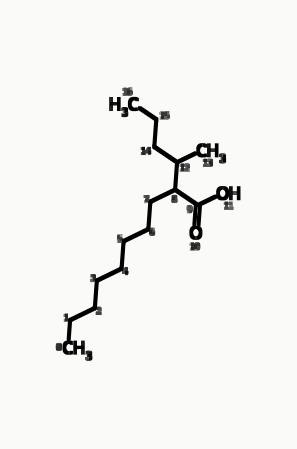 CCCCCCCCC(C(=O)O)C(C)CCC